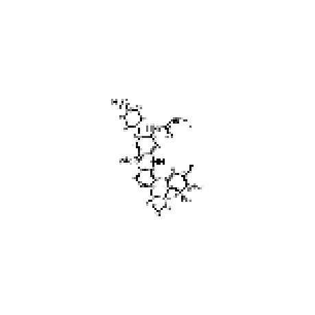 C=CC(=O)Nc1cc(Nc2cc(N3OCCC3c3ccc(F)c(F)c3F)ncn2)c(OC)cc1N1CCN(C)CC1